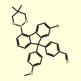 COc1ccc(C2(c3ccc(C=O)cc3)c3cc(Br)ccc3-c3c(B4OCC(C)(C)CO4)cccc32)cc1